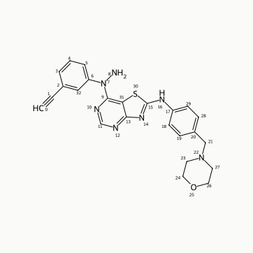 C#Cc1cccc(N(N)c2ncnc3nc(Nc4ccc(CN5CCOCC5)cc4)sc23)c1